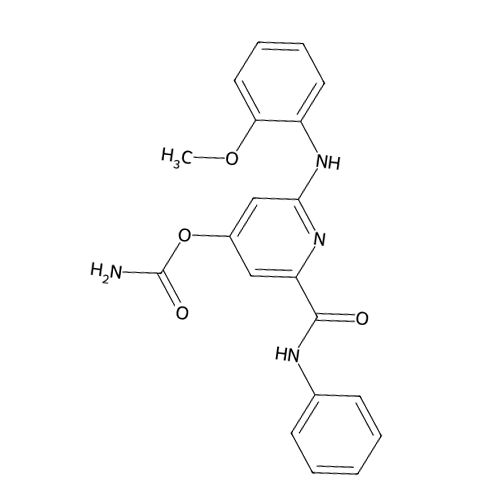 COc1ccccc1Nc1cc(OC(N)=O)cc(C(=O)Nc2ccccc2)n1